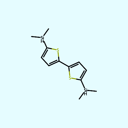 C[SiH](C)c1ccc(-c2ccc([SiH](C)C)s2)s1